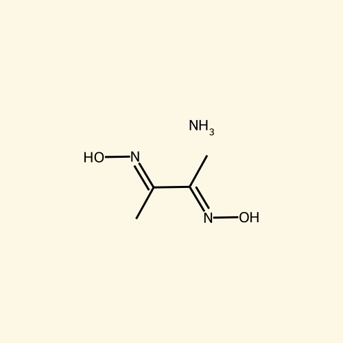 CC(=N\O)/C(C)=N/O.N